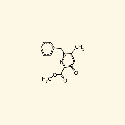 COC(=O)c1nn(Cc2ccccc2)c(C)cc1=O